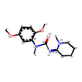 COc1ccc(OC)c(N(C)C(=O)/N=C2/CCCCN2C)c1